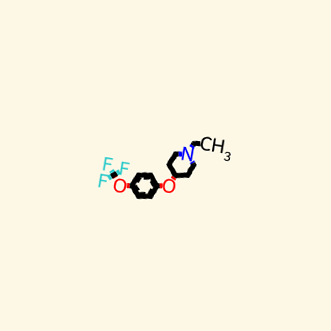 CCN1CCC(Oc2ccc(OC(F)(F)F)cc2)CC1